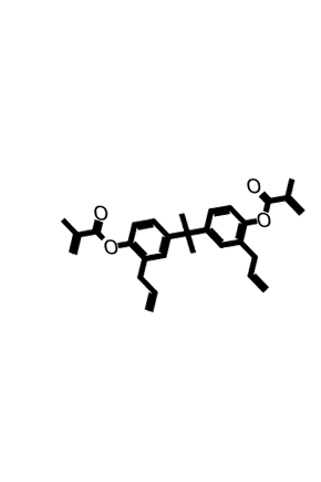 C=CCc1cc(C(C)(C)c2ccc(OC(=O)C(=C)C)c(CC=C)c2)ccc1OC(=O)C(=C)C